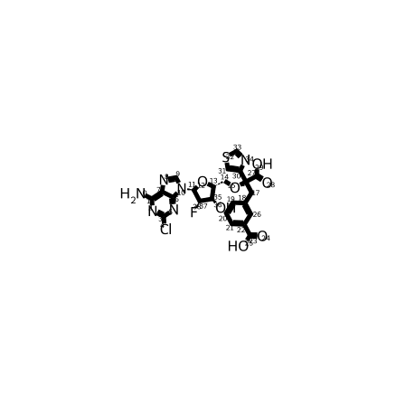 Nc1nc(Cl)nc2c1ncn2[C@@H]1O[C@H](COC(Cc2cccc(C(=O)O)c2)(C(=O)O)c2cscn2)[C@@H](O)[C@@H]1F